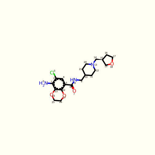 Nc1c(Cl)cc(C(=O)NCC2CCN(C[C@H]3CCOC3)CC2)c2c1OCCO2